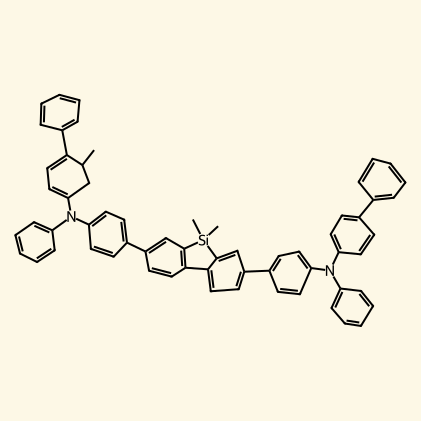 CC1CC(N(c2ccccc2)c2ccc(-c3ccc4c(c3)[Si](C)(C)c3cc(-c5ccc(N(c6ccccc6)c6ccc(-c7ccccc7)cc6)cc5)ccc3-4)cc2)=CC=C1c1ccccc1